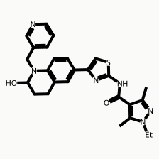 CCn1nc(C)c(C(=O)Nc2nc(-c3ccc4c(c3)CCC(O)N4Cc3cccnc3)cs2)c1C